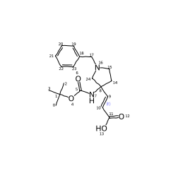 CC(C)(C)OC(=O)NC1(/C=C/C(=O)O)CCN(Cc2ccccc2)C1